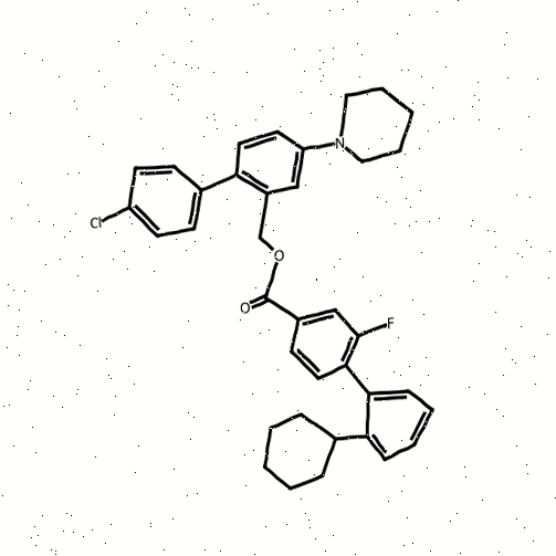 O=C(OCc1cc(N2CCCCC2)ccc1-c1ccc(Cl)cc1)c1ccc(-c2ccccc2C2CCCCC2)c(F)c1